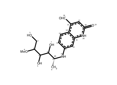 COC(CO)C(O)C(O)[C@@H](C)Nc1ccc2c(C=O)cc(=O)[nH]c2c1